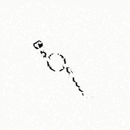 CCCCCCCCCCCCCCCCCCNC(=O)CC(=O)N1CCOCCOCCN(C(=O)CC(=O)NC23CC4CC(CC(C4)C2)C3)CCOCCOCC1